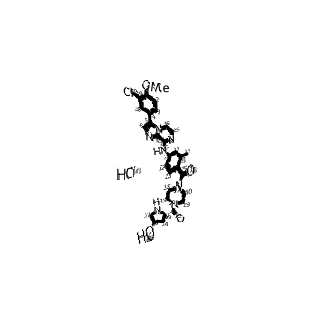 COc1ccc(-c2cnc3c(Nc4ccc(C(=O)N5CCN(C(=O)[C@@H]6C[C@@H](O)CN6)CC5)c(C)c4)nccn23)cc1Cl.Cl